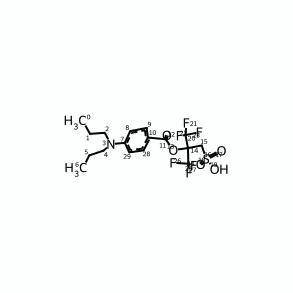 CCCN(CCC)c1ccc(C(=O)OC(CS(=O)(=O)O)(C(F)(F)F)C(F)(F)F)cc1